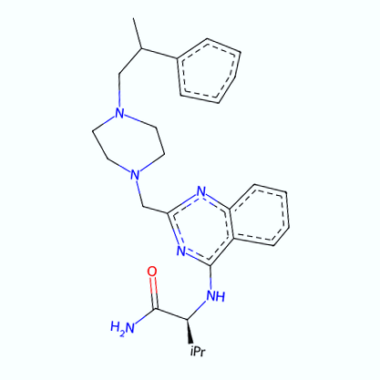 CC(CN1CCN(Cc2nc(N[C@H](C(N)=O)C(C)C)c3ccccc3n2)CC1)c1ccccc1